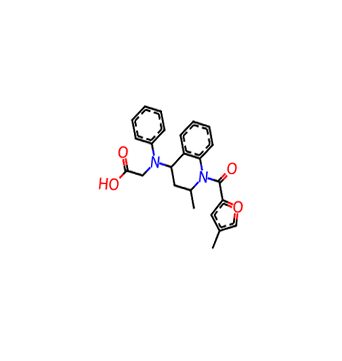 Cc1coc(C(=O)N2c3ccccc3C(N(CC(=O)O)c3ccccc3)CC2C)c1